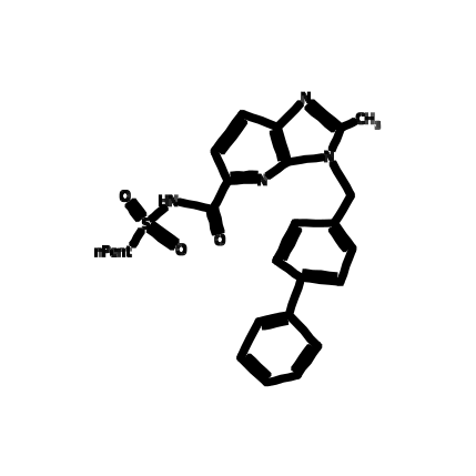 CCCCCS(=O)(=O)NC(=O)c1ccc2nc(C)n(Cc3ccc(-c4ccccc4)cc3)c2n1